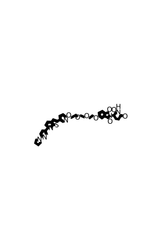 O=C1CCC(N2C(=O)c3ccc(OCCOCCOCCOc4ccc(-c5cc6ccc(-c7ccc(N8CCCC8)nc7)nc6s5)cn4)cc3C2=O)C(=O)N1